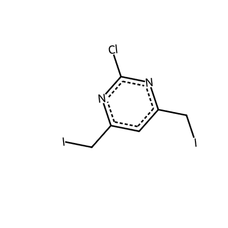 Clc1nc(CI)cc(CI)n1